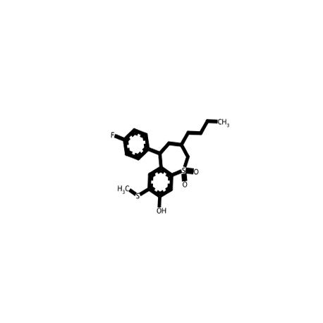 CCCCC1CC(c2ccc(F)cc2)c2cc(SC)c(O)cc2S(=O)(=O)C1